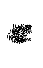 COc1cccc2c1C(=O)c1c(O)c3c(c(O)c1C2=O)C[C@@](O)(C(=O)CO)C[C@@H]3OC1CC(NNC2CC(O[C@H]3C[C@](O)(C(=O)CO)Cc4c(O)c5c(c(O)c43)C(=O)c3c(OC)cccc3C5=O)OC(C)C2O)C(O)C(C)O1.Cl.Cl